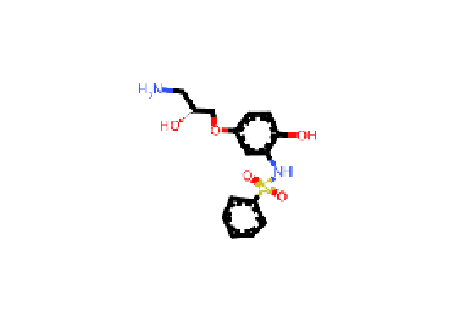 NC[C@@H](O)COc1ccc(O)c(NS(=O)(=O)c2ccccc2)c1